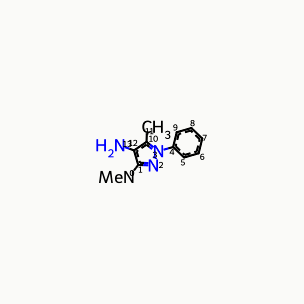 CNc1nn(-c2ccccc2)c(C)c1N